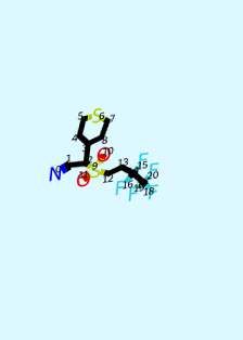 N#CC(C1CCSCC1)S(=O)(=O)CCC(F)(F)C(F)(F)F